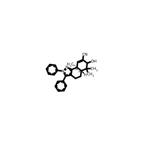 CC1(C)C(O)C(C#N)=C[C@]2(C)c3nn(-c4ccccc4)c(-c4ccccc4)c3CC[C@@H]12